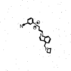 N#Cc1cccc(S(=O)(=O)CC=Cn2ccc3c(CN4CCC4)cccc32)c1